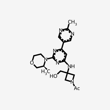 CC(=O)N1CC(CO)(Nc2cc(-c3cnc(C)nc3)nc(N3CCOC[C@@H]3C)n2)C1